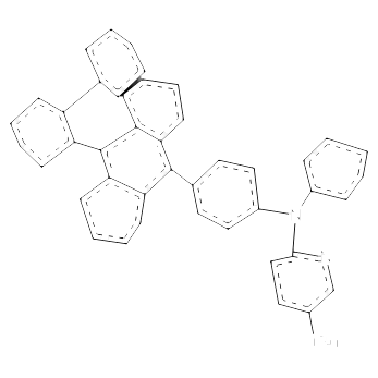 CC(C)(C)c1ccc(N(c2ccccc2)c2ccc(-c3c4ccccc4c(-c4ccccc4-c4ccccc4)c4ccccc34)cc2)nc1